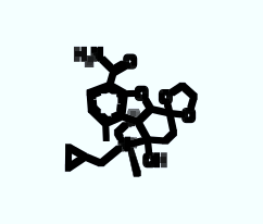 Cc1ccc(C(N)=O)c2c1[C@]13CCN(CC4CC4)[C@H](C)C1(O)CCC1(OCCO1)C3O2